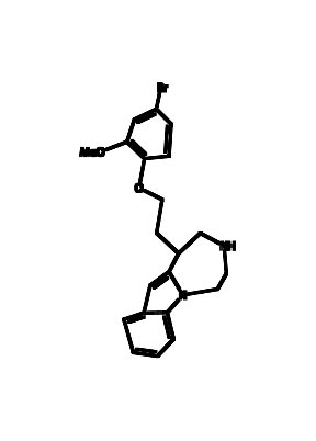 COc1cc(Br)ccc1OCCC1CNCCn2c1cc1ccccc12